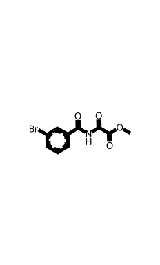 COC(=O)C(=O)NC(=O)c1cccc(Br)c1